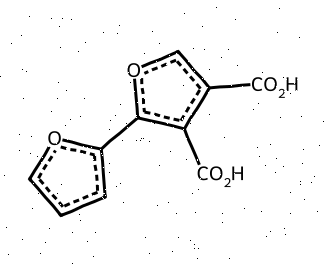 O=C(O)c1coc(-c2ccco2)c1C(=O)O